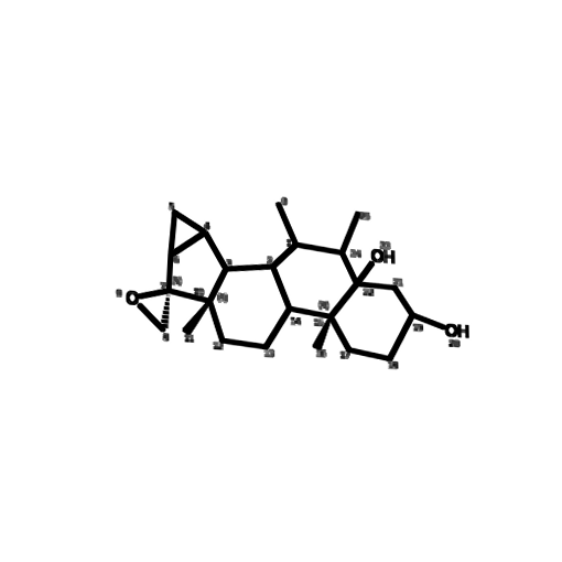 CC1C2C3C4CC4[C@@]4(CO4)[C@@]3(C)CCC2[C@@]2(C)CCC(O)CC2(O)C1C